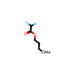 COCCCOC(=O)C(F)F